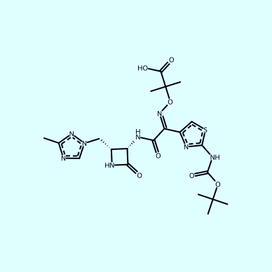 Cc1ncn(C[C@H]2NC(=O)[C@H]2NC(=O)C(=NOC(C)(C)C(=O)O)c2csc(NC(=O)OC(C)(C)C)n2)n1